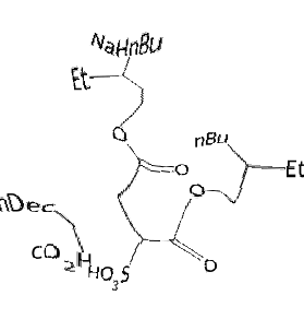 CCCCC(CC)COC(=O)CC(C(=O)OCC(CC)CCCC)S(=O)(=O)O.CCCCCCCCCCCC(=O)O.[NaH]